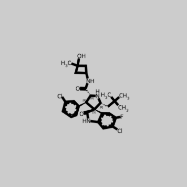 CC(C)(C)C[C@H]1N[C@@H](C(=O)NC2CC(C)(O)C2)[C@H](c2cccc(Cl)c2)[C@@]12C(=O)Nc1cc(Cl)c(F)cc12